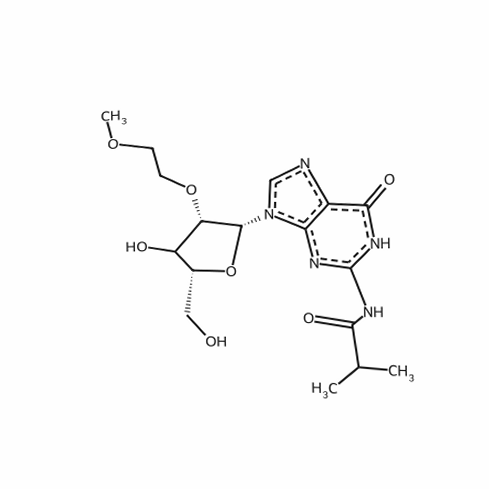 COCCO[C@H]1C(O)[C@@H](CO)O[C@H]1n1cnc2c(=O)[nH]c(NC(=O)C(C)C)nc21